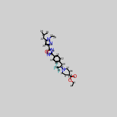 CCOC(=O)C1CCN(C(Cc2ccc(-c3noc(-c4cc(CC(C)C)n(CC)n4)n3)cc2)C(F)(F)F)CC1